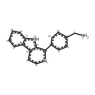 NCc1ccc(-c2nccc3c2[nH]c2ccccc23)cc1